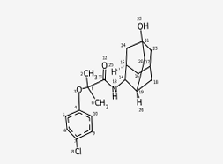 CC(C)(Oc1ccc(Cl)cc1)C(=O)NC1[C@@H]2CC3C[C@H]1CC(O)(C3)C2